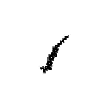 CCCCCCCCCOc1ccc(C(=O)Oc2ccc(-c3ccc(C(=O)OCC(C)CC)cc3)cc2)cc1